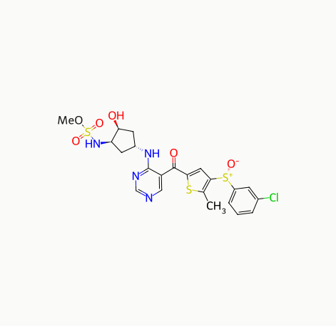 COS(=O)(=O)N[C@@H]1C[C@@H](Nc2ncncc2C(=O)c2cc([S@+]([O-])c3cccc(Cl)c3)c(C)s2)C[C@@H]1O